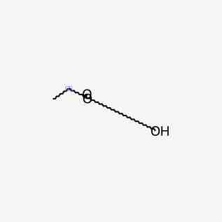 CCCCCCCC/C=C\CCCCCCCC(=O)OCCCCCCCCCCCCCCCCCCCCCCCCCCCCCCCCCO